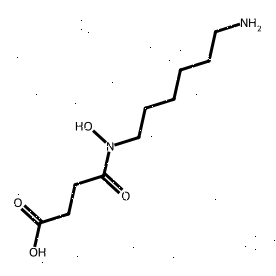 NCCCCCCN(O)C(=O)CCC(=O)O